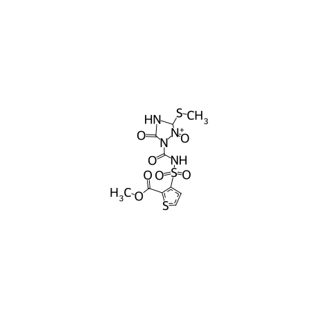 COC(=O)c1sccc1S(=O)(=O)NC(=O)N1C(=O)NC(SC)[N+]1=O